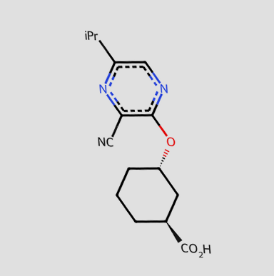 CC(C)c1cnc(O[C@H]2CCC[C@H](C(=O)O)C2)c(C#N)n1